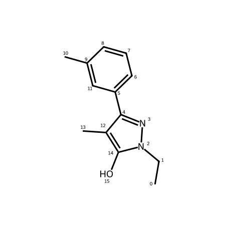 CCn1nc(-c2cccc(C)c2)c(C)c1O